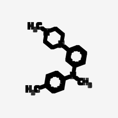 Cc1ccc(N(C)c2cccc(N3CCN(C)CC3)c2)cc1